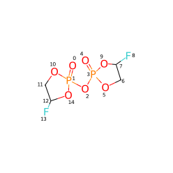 O=P1(OP2(=O)OCC(F)O2)OCC(F)O1